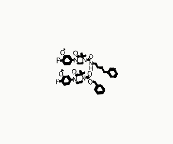 COc1cc(N2CCN(C(=O)NCCCCc3ccccc3)C(C)(C)C2=O)ccc1F.COc1cc(N2CCN(C(=O)OCc3ccccc3)C(C)(C)C2=O)ccc1F